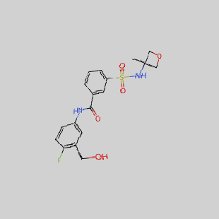 CC1(NS(=O)(=O)c2cccc(C(=O)Nc3ccc(F)c(CO)c3)c2)COC1